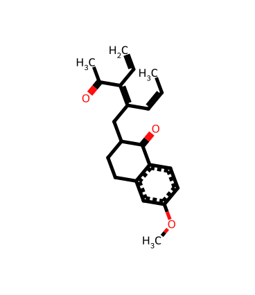 C=C/C(C(C)=O)=C(\C=C/C)CC1CCc2cc(OC)ccc2C1=O